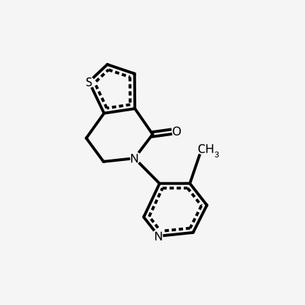 Cc1ccncc1N1CCc2sccc2C1=O